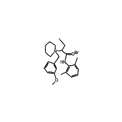 CCC(C(=O)Nc1c(C)cccc1C)[N+]1(Cc2cccc(OC)c2)CCCCC1.[Br-]